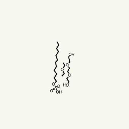 CCCCCCCCCCCCOS(=O)(=O)O.CCOCC.OCCOCCOCCO